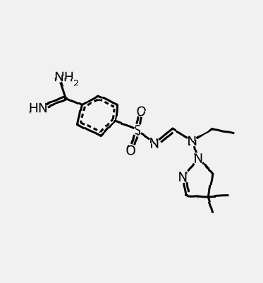 CCN(C=NS(=O)(=O)c1ccc(C(=N)N)cc1)N1CC(C)(C)C=N1